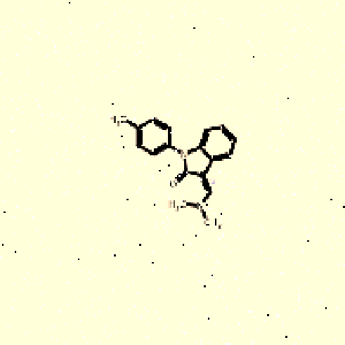 Cc1ccc(N2C(=O)/C(=C\N(C)C)c3ccccc32)cc1